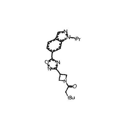 CC(C)n1ncc2ccc(-c3nc(C4CN(C(=O)CC(C)(C)C)C4)no3)cc21